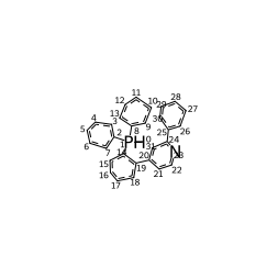 C[PH](c1ccccc1)(c1ccccc1)c1ccccc1-c1ccnc(-c2ccccc2)c1